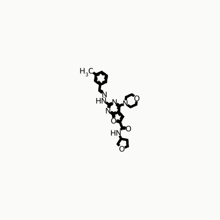 Cc1cccc(/C=N/Nc2nc(N3CCOCC3)c3cc(C(=O)NC4CCOC4)oc3n2)c1